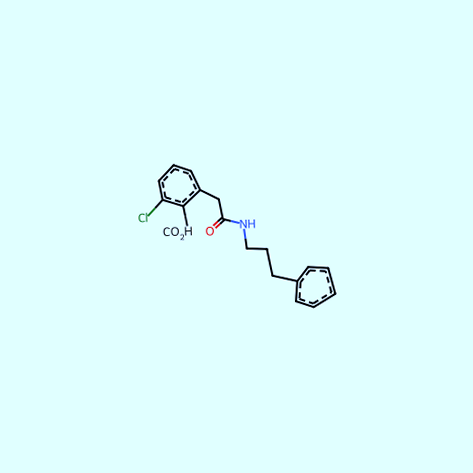 O=C(Cc1cccc(Cl)c1C(=O)O)NCCCc1ccccc1